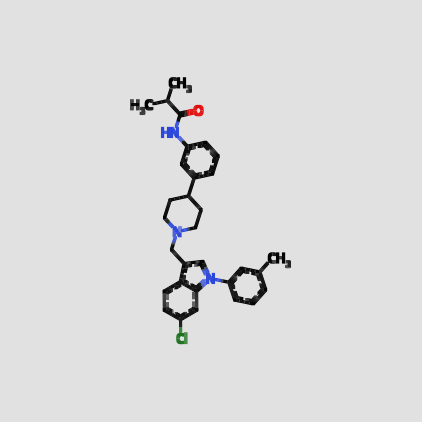 Cc1cccc(-n2cc(CN3CCC(c4cccc(NC(=O)C(C)C)c4)CC3)c3ccc(Cl)cc32)c1